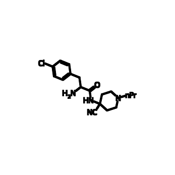 CCCN1CCC(C#N)(NC(=O)C(N)Cc2ccc(Cl)cc2)CC1